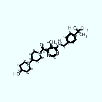 Cc1c(NCc2ccc(C(C)(C)C)cc2)ncnc1C(=O)N1CCC(N2CCC(O)CC2)CC1